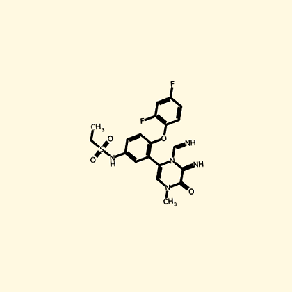 CCS(=O)(=O)Nc1ccc(Oc2ccc(F)cc2F)c(-c2cn(C)c(=O)c(=N)n2C=N)c1